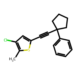 Cc1sc(C#CC2(c3ccccc3)CCCC2)cc1Cl